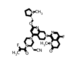 C=C(F)C(=O)N1CCN(c2cc(OC[C@@H]3CCCN3C)nc3c2CCN(c2ncc(F)c4c2N(C)C(=O)CC4)C3)C[C@@H]1CC#N